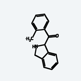 [CH2]c1ccccc1C(=O)C1NCc2ccccc21